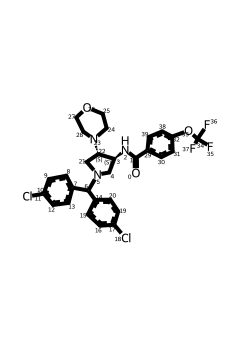 O=C(N[C@H]1CN(C(c2ccc(Cl)cc2)c2ccc(Cl)cc2)C[C@@H]1N1CCOCC1)c1ccc(OC(F)(F)F)cc1